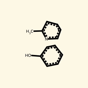 Cc1ccccn1.Oc1ccccc1